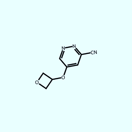 N#Cc1cc(OC2COC2)cnn1